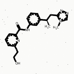 C[C@H](Cc1nncn1C)c1cccc(NC(=O)c2cccc(CCO)n2)c1